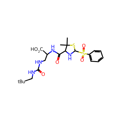 CC(C)(C)CNC(=O)NCC(NC(=O)C1NC(S(=O)(=O)c2ccccc2)SC1(C)C)C(=O)O